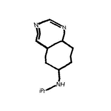 CC(C)NC1CCC2N=CN=CC2C1